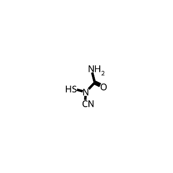 N#CN(S)C(N)=O